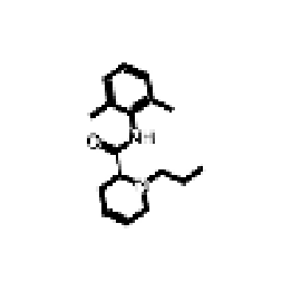 CCCN1CC=CC[C@H]1C(=O)Nc1c(C)cccc1C